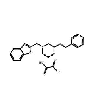 O=C(O)C(=O)O.c1ccc(CCC2CN(Cc3nc4ccccc4[nH]3)CCO2)cc1